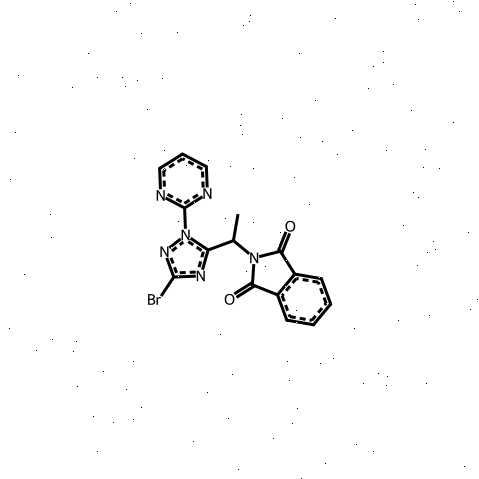 CC(c1nc(Br)nn1-c1ncccn1)N1C(=O)c2ccccc2C1=O